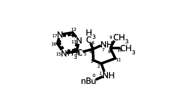 CCCCNC1CC(C)(C)NC(C)(C)C1.c1ncncn1